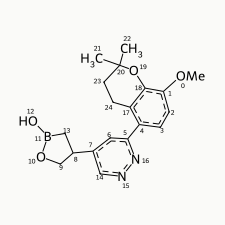 COc1ccc(-c2cc(C3COB(O)C3)cnn2)c2c1OC(C)(C)CC2